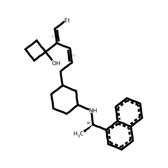 CC/C=C(\C=C/CC1CCCC(N[C@H](C)c2cccc3ccccc23)C1)C1(O)CCC1